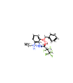 CNc1cccc(OCc2ccccc2)c1NC(=O)C(F)(F)C(F)(F)F